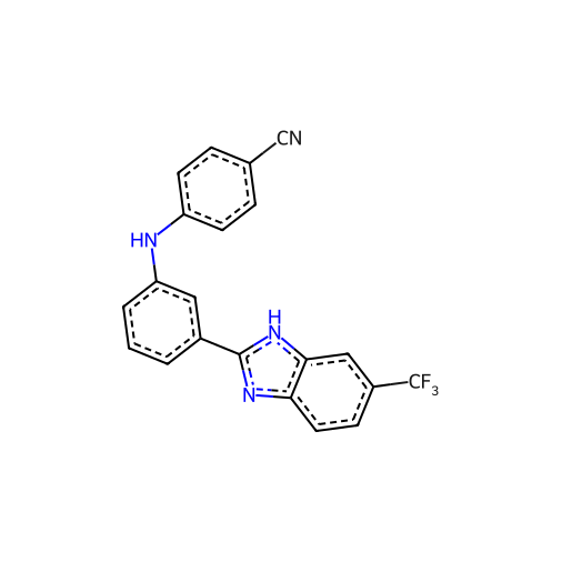 N#Cc1ccc(Nc2cccc(-c3nc4ccc(C(F)(F)F)cc4[nH]3)c2)cc1